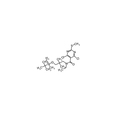 CCN(CC(C)(C)CO[Si](C)(C)C(C)(C)C)C(=O)c1c(Cl)nc(SC)nc1Cl